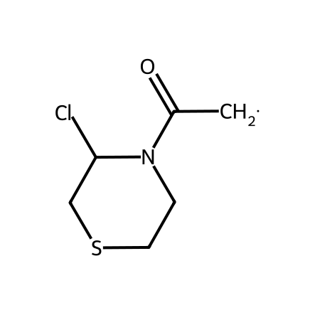 [CH2]C(=O)N1CCSCC1Cl